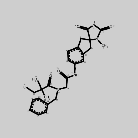 CN1C(=O)NC(=O)C12Cc1ccc(NC(=O)CN(Cc3ccccc3)C(=O)C(C)(C)CCl)cc1C2